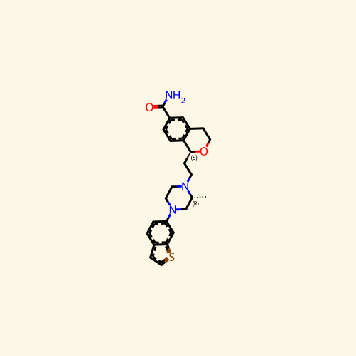 C[C@@H]1CN(c2ccc3ccsc3c2)CCN1CC[C@@H]1OCCc2cc(C(N)=O)ccc21